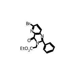 CCOC(=O)Cn1c(-c2ccccc2)nc2ccc(Br)nc2c1=O